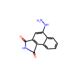 NNc1cc2c(c3ccccc13)C(=O)NC2=O